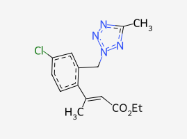 CCOC(=O)C=C(C)c1ccc(Cl)cc1Cn1nnc(C)n1